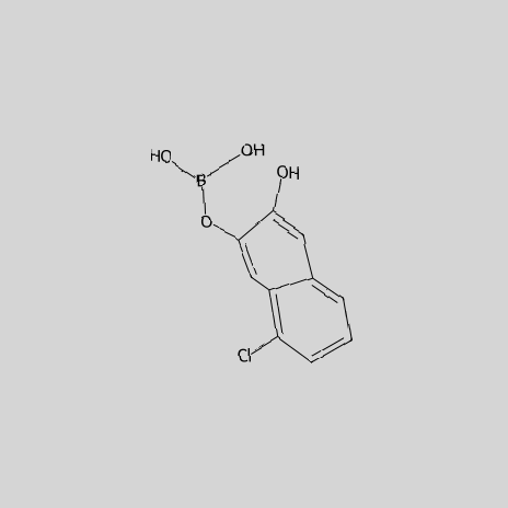 OB(O)Oc1cc2c(Cl)cccc2cc1O